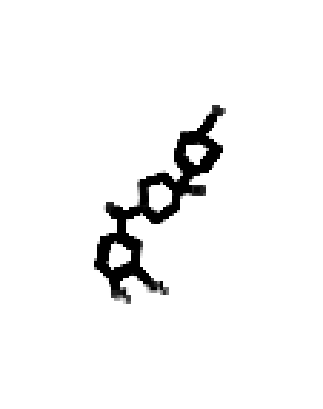 Cc1ccc(C(=O)N2CCC(O)(c3ccc(Br)cc3)CC2)cc1N